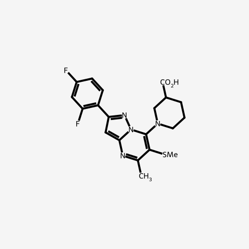 CSc1c(C)nc2cc(-c3ccc(F)cc3F)nn2c1N1CCCC(C(=O)O)C1